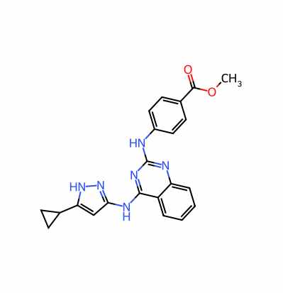 COC(=O)c1ccc(Nc2nc(Nc3cc(C4CC4)[nH]n3)c3ccccc3n2)cc1